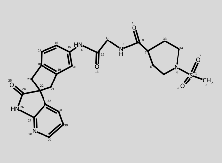 CS(=O)(=O)N1CCC(C(=O)NCC(=O)Nc2ccc3c(c2)CC2(C3)C(=O)Nc3ncccc32)CC1